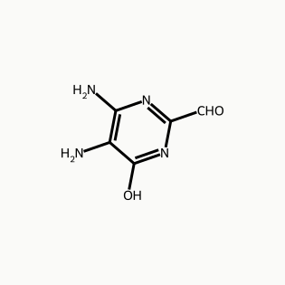 Nc1nc(C=O)nc(O)c1N